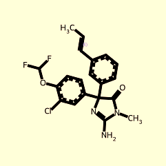 C/C=C/c1cccc(C2(c3ccc(OC(F)F)c(Cl)c3)N=C(N)N(C)C2=O)c1